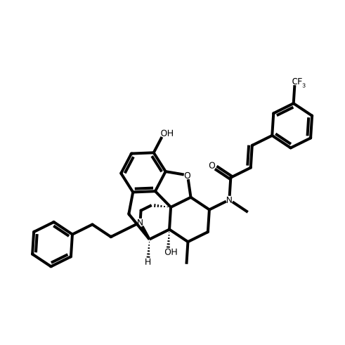 CC1CC(N(C)C(=O)/C=C/c2cccc(C(F)(F)F)c2)C2Oc3c(O)ccc4c3[C@@]23CCN(CCc2ccccc2)[C@H](C4)[C@]13O